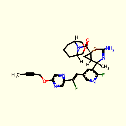 CC#CCOc1cnc(/C(F)=C/c2cnc(F)c([C@@]3(C)N=C(N)S[C@@]4(C(=O)N5[C@H]6CCC[C@H]5COC6)C[C@H]43)c2)cn1